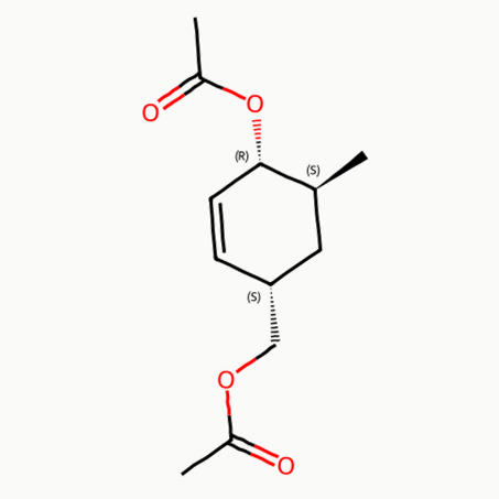 CC(=O)OC[C@@H]1C=C[C@H](OC(C)=O)[C@@H](C)C1